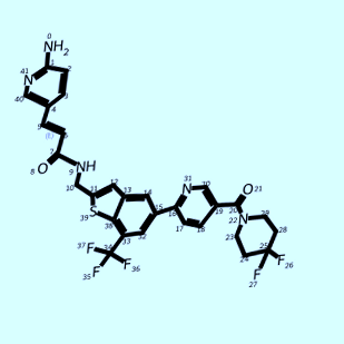 Nc1ccc(/C=C/C(=O)NCc2cc3cc(-c4ccc(C(=O)N5CCC(F)(F)CC5)cn4)cc(C(F)(F)F)c3s2)cn1